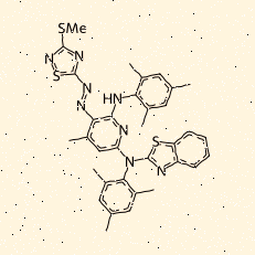 CSc1nsc(N=Nc2c(C)cc(N(c3nc4ccccc4s3)c3c(C)cc(C)cc3C)nc2Nc2c(C)cc(C)cc2C)n1